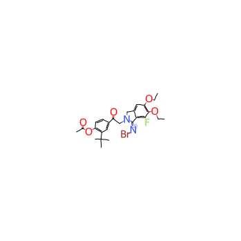 CCOc1cc2c(c(F)c1OCC)/C(=N/Br)N(CC(=O)c1ccc(OC(C)=O)c(C(C)(C)C)c1)C2